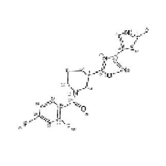 Cc1ncc(-c2noc(C3CCCN(C(=O)c4ccc(F)cc4F)C3)n2)s1